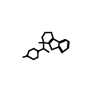 CC(N1CCN(C)CC1)C1(C)SCCC2=C1Cc1ccccc12